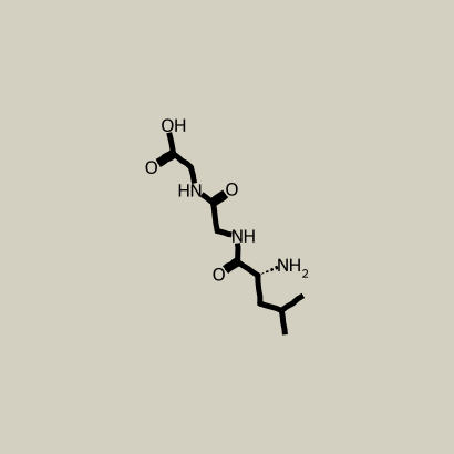 CC(C)C[C@@H](N)C(=O)NCC(=O)NCC(=O)O